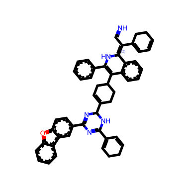 N=C/C(C1=CC=CCC1)=C1\NC(c2ccccc2)=C(C2CC=C(C3N=C(c4ccc5oc6ccccc6c5c4)N=C(C4=CCCC=C4)N3)CC2)c2ccccc21